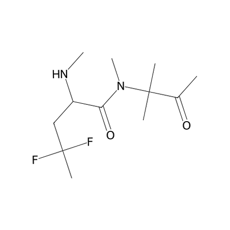 CNC(CC(C)(F)F)C(=O)N(C)C(C)(C)C(C)=O